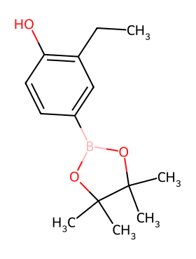 CCc1cc(B2OC(C)(C)C(C)(C)O2)ccc1O